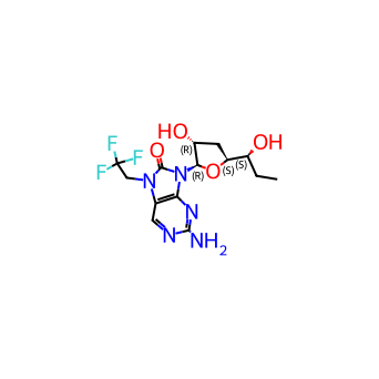 CC[C@H](O)[C@@H]1C[C@@H](O)[C@H](n2c(=O)n(CC(F)(F)F)c3cnc(N)nc32)O1